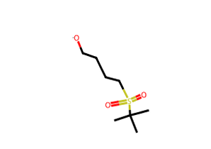 CC(C)(C)S(=O)(=O)CCCC[O]